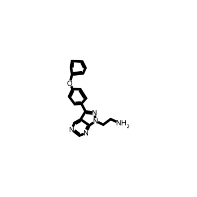 NCCn1nc(-c2ccc(Oc3ccccc3)cc2)c2cncnc21